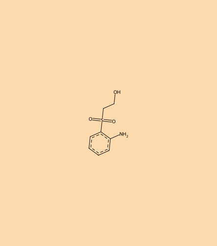 Nc1ccccc1S(=O)(=O)CCO